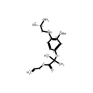 C=CCOC(=O)C(C)(C)Oc1ccc(NC[C@@H](N)CC)c(OC)c1